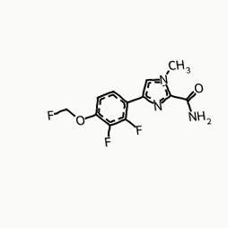 Cn1cc(-c2ccc(OCF)c(F)c2F)nc1C(N)=O